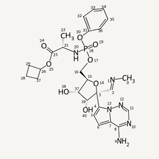 CN=C[C@@]1(c2ccc3c(N)ncnn23)O[C@H](COP(=O)(N[C@@H](C)C(=O)OC2CCC2)Oc2ccccc2)[C@@H](O)[C@H]1O